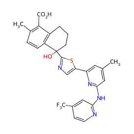 Cc1cc(Nc2cc(C(F)(F)F)ccn2)nc(-c2cnc(C3(O)CCCc4c3ccc(C)c4C(=O)O)s2)c1